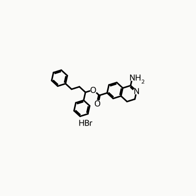 Br.NC1=NCCc2cc(C(=O)OC(CCc3ccccc3)c3ccccc3)ccc21